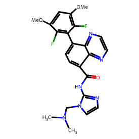 COc1cc(OC)c(F)c(-c2ccc(C(=O)Nc3nccn3CN(C)C)c3nccnc23)c1F